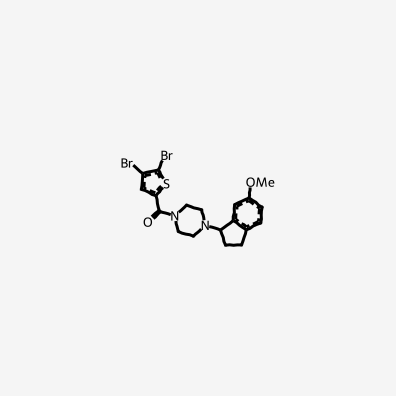 COc1ccc2c(c1)C(N1CCN(C(=O)c3cc(Br)c(Br)s3)CC1)CC2